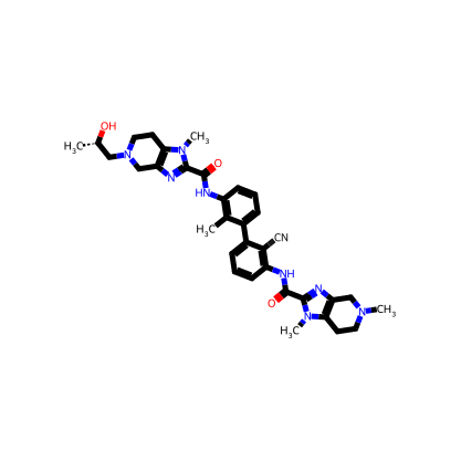 Cc1c(NC(=O)c2nc3c(n2C)CCN(C[C@H](C)O)C3)cccc1-c1cccc(NC(=O)c2nc3c(n2C)CCN(C)C3)c1C#N